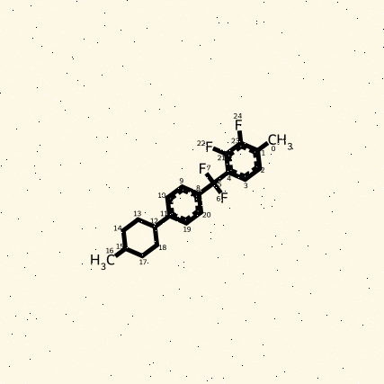 Cc1ccc(C(F)(F)c2ccc(C3CCC(C)CC3)cc2)c(F)c1F